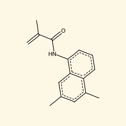 C=C(C)C(=O)Nc1cccc2c(C)cc(C)cc12